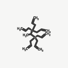 C=CC[Si](CC=C)(CC=C)C(C)[Si](CC=C)(CC=C)CC=C